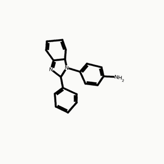 Nc1ccc(N2C3C=CC=CC3=NC2c2ccccc2)cc1